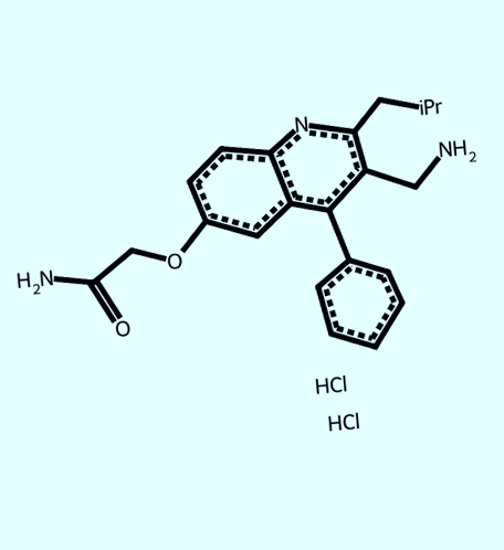 CC(C)Cc1nc2ccc(OCC(N)=O)cc2c(-c2ccccc2)c1CN.Cl.Cl